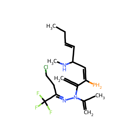 C=C(C)N(/N=C(\CCCl)C(F)(F)F)C(=C)/C(P)=C\C(C=CCC)NC